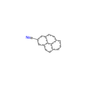 N#Cc1cc2ccc3[c]ccc4ccc(c1)c2c34